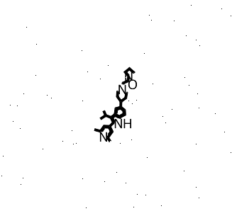 Cc1cc(-c2[nH]c3ccc(C4CCN(CC(=O)N5CCC5)CC4)cc3c2C(C)C)cc(C)n1